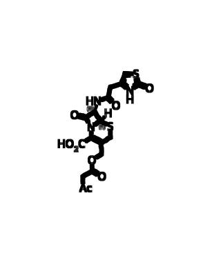 CC(=O)CC(=O)OCC1=C(C(=O)O)N2C(=O)[C@@H](NC(=O)Cc3csc(=O)[nH]3)[C@@H]2SC1